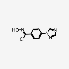 ON=C(Cl)c1ccc(-n2cncn2)cc1